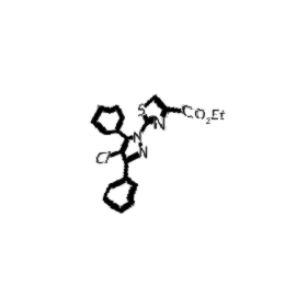 CCOC(=O)c1csc(-n2nc(-c3ccccc3)c(Cl)c2-c2ccccc2)n1